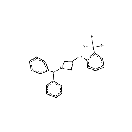 FC(F)(F)c1ccccc1OC1CN(C(c2ccccc2)c2ccccc2)C1